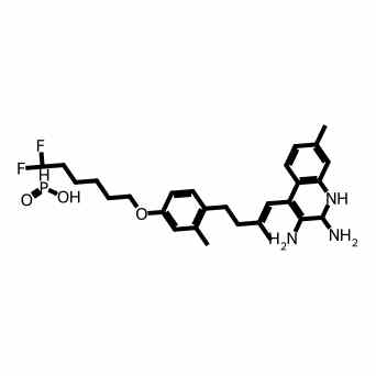 C/C(=C\C1=C(N)C(N)Nc2cc(C)ccc21)CCc1ccc(OCCCCCC(F)(F)[PH](=O)O)cc1C